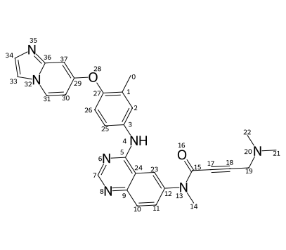 Cc1cc(Nc2ncnc3ccc(N(C)C(=O)C#CCN(C)C)cc23)ccc1Oc1ccn2ccnc2c1